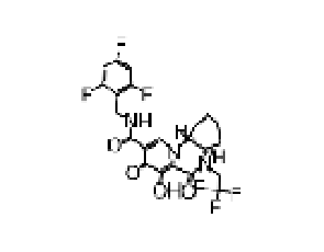 O=C(NCc1c(F)cc(F)cc1F)c1cn2c(c(O)c1=O)C(=O)N(CC(F)(F)F)[C@@H]1CCCC[C@H]12